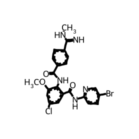 CNC(=N)c1ccc(C(=O)Nc2c(OC)cc(Cl)cc2C(=O)Nc2ccc(Br)cn2)cc1